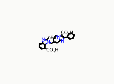 CCCCc1nc2cccc(C(=O)O)c2n1Cc1ccn2c(C(=O)O)c(-c3ccccc3)nc2c1